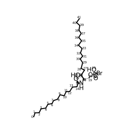 CCCCCCCCCCCCCCCC(=O)N[C@@H](COP(=O)(O)Br)[C@H](O)CCCCCCCCCCCCCCC